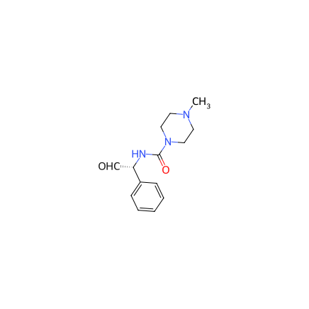 CN1CCN(C(=O)N[C@@H](C=O)c2ccccc2)CC1